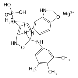 CC1=C2NOC(Nc3cc(C)c(C)c(C)c3)(N=C1)[N+]2(COP(=O)(O)O)c1ccc2c(c1)NCO2.[Mg+2]